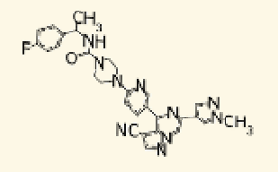 CC(NC(=O)N1CCN(c2ccc(-c3nc(-c4cnn(C)c4)cn4ncc(C#N)c34)cn2)CC1)c1ccc(F)cc1